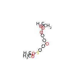 C=C(C)C(=O)OCCOc1ccc(-c2ccc(C(=O)c3ccc(-c4ccc(SCCOC(=O)C(=C)C)cc4)cc3)cc2)cc1